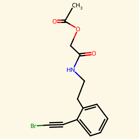 CC(=O)OCC(=O)NCCc1ccccc1C#CBr